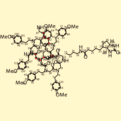 COc1ccc(CCN(CC(=O)N[C@@H](CCCCNC(=O)CCCCC2SC[C@H]3NC(=O)N[C@@H]23)C(N)=O)C(=O)CN(CCc2ccc(OC)cc2)C(=O)CN(CCN)C(=O)CN(CCc2ccc(OC)cc2)C(=O)CN(CCc2ccc(OC)cc2)C(=O)CN(CCN)C(=O)CN(CCc2ccc(OC)cc2)C(=O)CN(CCc2ccc(OC)cc2)C(=O)CN(CCN)C(C)=O)cc1